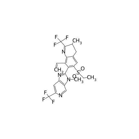 C=Cc1c2c(cc(S(=O)(=O)CC)c1-c1nc3cc(C(F)(F)F)ncc3n1C)CC(C)C(C(F)(F)F)=N2